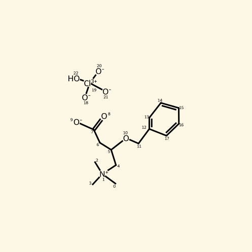 C[N+](C)(C)CC(CC(=O)[O-])OCc1ccccc1.[O-][Cl+3]([O-])([O-])O